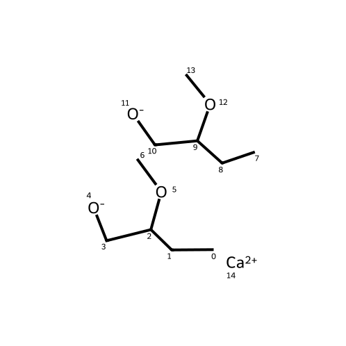 CCC(C[O-])OC.CCC(C[O-])OC.[Ca+2]